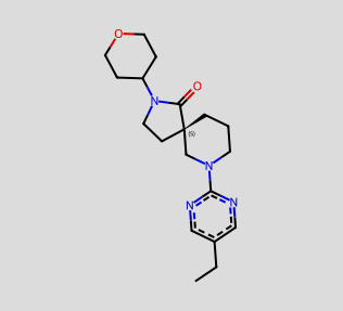 CCc1cnc(N2CCC[C@]3(CCN(C4CCOCC4)C3=O)C2)nc1